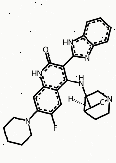 O=c1[nH]c2cc(N3CCCCC3)c(F)cc2c(N[C@H]2CN3CCC2CC3)c1-c1nc2ccccc2[nH]1